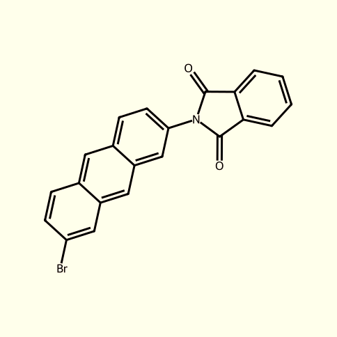 O=C1c2ccccc2C(=O)N1c1ccc2cc3ccc(Br)cc3cc2c1